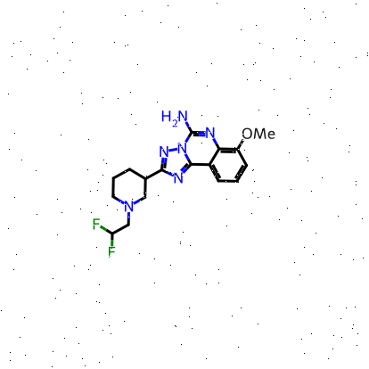 COc1cccc2c1nc(N)n1nc(C3CCCN(CC(F)F)C3)nc21